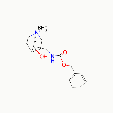 [BH3-][N+]12CCC(CC1)[C@@](O)(CNC(=O)OCc1ccccc1)C2